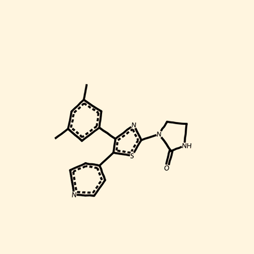 Cc1cc(C)cc(-c2nc(N3CCNC3=O)sc2-c2ccncc2)c1